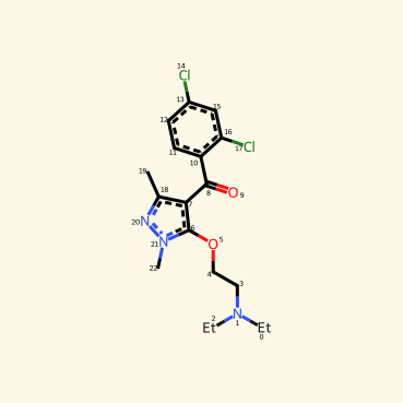 CCN(CC)CCOc1c(C(=O)c2ccc(Cl)cc2Cl)c(C)nn1C